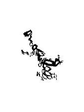 COc1cc(OCCCN2CCCC2)ccc1-c1csc(CNC(=O)C2(CC(=O)OC(C)(C)C)Cc3cc(F)c(F)cc3C2)n1